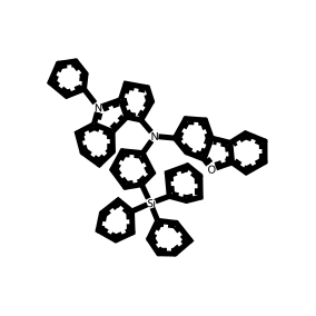 c1ccc(-n2c3ccccc3c3c(N(c4cccc([Si](c5ccccc5)(c5ccccc5)c5ccccc5)c4)c4ccc5c(c4)oc4ccccc45)cccc32)cc1